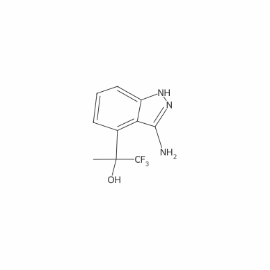 CC(O)(c1cccc2[nH]nc(N)c12)C(F)(F)F